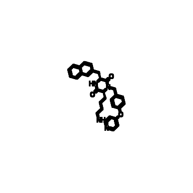 NCCCC[C@H]1C(=O)N[C@@H](Cc2ccc3ccccc3c2)C(=O)N1Cc1ccc(Oc2ccncc2)cc1